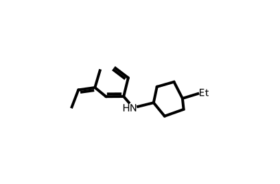 C=C/C(=C\C(C)=C/C)NC1CCC(CC)CC1